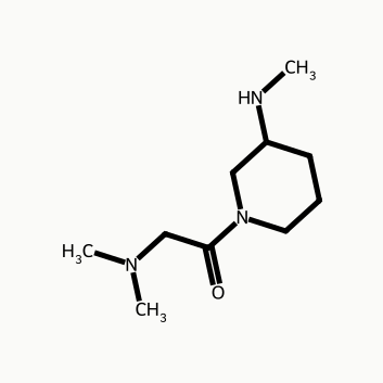 CNC1CCCN(C(=O)CN(C)C)C1